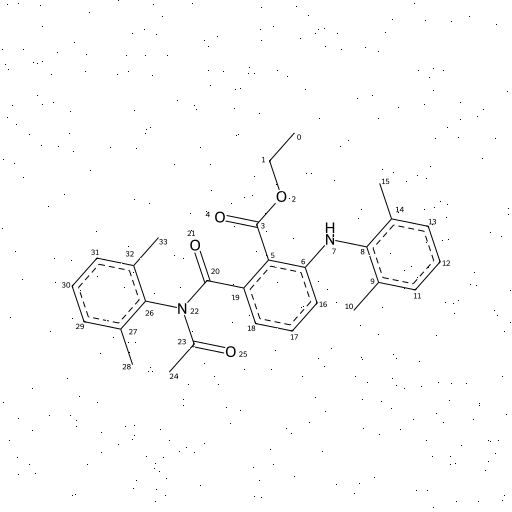 CCOC(=O)c1c(Nc2c(C)cccc2C)cccc1C(=O)N(C(C)=O)c1c(C)cccc1C